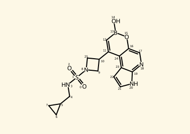 O=S(=O)(NCC1CC1)N1CC(C2=CB(O)Oc3cnc4[nH]ccc4c32)C1